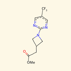 COC(=O)CC1CN(c2ncc(C(F)(F)F)cn2)C1